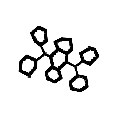 c1ccc(N(c2cccnc2)c2c3ccccc3c(N(c3ccccc3)c3cccnc3)c3ccccc23)cc1